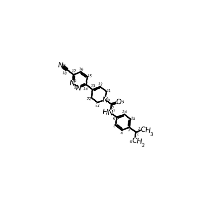 CC(C)c1ccc(NC(=O)N2CC=C(c3ccc(C#N)nn3)CC2)cc1